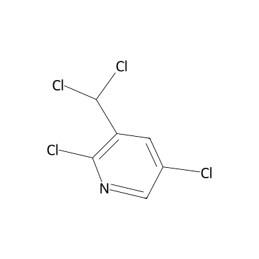 Clc1cnc(Cl)c(C(Cl)Cl)c1